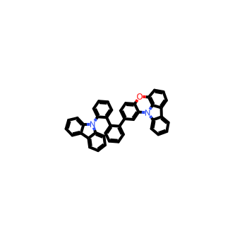 c1ccc(-c2ccccc2-n2c3ccccc3c3ccccc32)c(-c2ccc3c(c2)-n2c4ccccc4c4cccc(c42)O3)c1